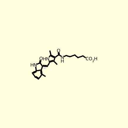 Cc1cccc2c1/C(=C/c1[nH]c(C)c(C(=O)NCCCCCC(=O)O)c1C)C(=O)N2